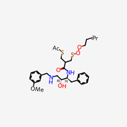 COc1cccc(CNC[C@@H](O)[C@H](Cc2ccccc2)NC(=O)C(CSOOCCC(C)C)CSC(C)=O)c1